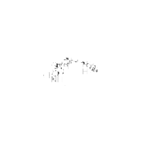 COc1cc(N)c(Cl)cc1C(=O)NCC1CCN(CCCCCNCc2ccncc2)CC1